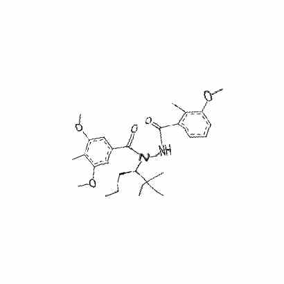 CCC[C@@H](N(NC(=O)c1cccc(OC)c1C)C(=O)c1cc(OC)c(C)c(OC)c1)C(C)(C)C